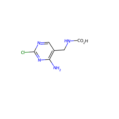 Nc1nc(Cl)ncc1CNC(=O)O